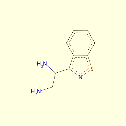 NCC(N)c1nsc2ccccc12